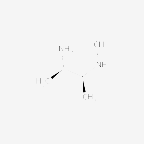 CN[C@@H](C)[C@@H](C)N